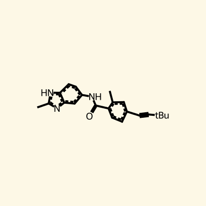 Cc1nc2cc(NC(=O)c3ccc(C#CC(C)(C)C)cc3C)ccc2[nH]1